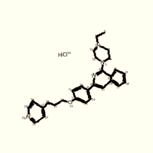 CCN1CCN(c2nc(-c3ccc(OCCCc4ccncc4)cc3)cc3ccccc23)CC1.Cl